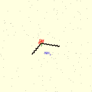 CCCCCCCCCCCCCC(F)(CCCCCCCCCC)S(=O)(=O)O.N